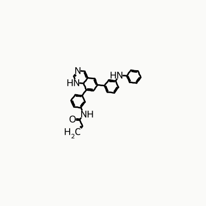 C=CC(=O)Nc1cccc(C2=CC(c3cccc(Nc4ccccc4)c3)=CC3=CN=CNC32)c1